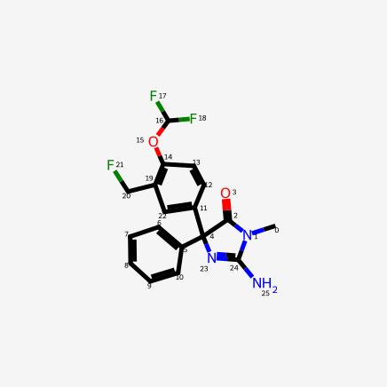 CN1C(=O)C(c2ccccc2)(c2ccc(OC(F)F)c(CF)c2)N=C1N